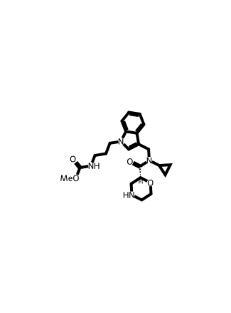 COC(=O)NCCCn1cc(CN(C(=O)[C@H]2CNCCO2)C2CC2)c2ccccc21